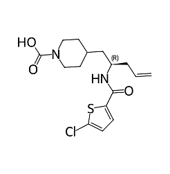 C=CC[C@H](CC1CCN(C(=O)O)CC1)NC(=O)c1ccc(Cl)s1